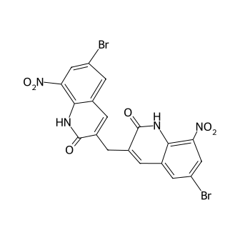 O=c1[nH]c2c([N+](=O)[O-])cc(Br)cc2cc1Cc1cc2cc(Br)cc([N+](=O)[O-])c2[nH]c1=O